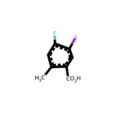 Cc1cc(F)c(I)cc1C(=O)O